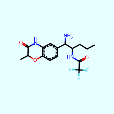 CCCC(NC(=O)C(F)(F)F)C(N)c1ccc2c(c1)NC(=O)C(C)O2